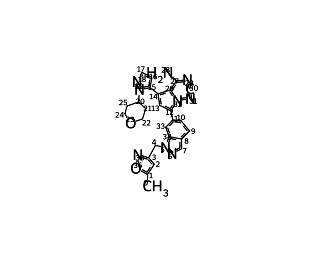 Cc1cc(Cn2ncc3ccc(-c4cc(-c5ccnn5C5CCOCC5)c5c(N)ncnn45)cc32)no1